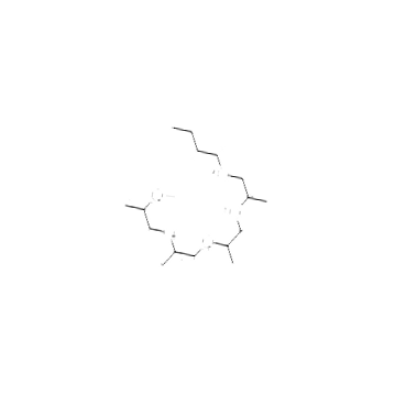 CCCCOCC(C)OCC(C)OCC(C)OCC(C)O